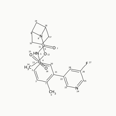 Cc1ccc(NC(=O)N2C3CC(OS(C)(=O)=O)CC2C3)cc1-c1cncc(F)c1